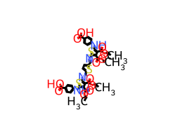 CCOC(=O)c1c(/N=C/c2ccc(/C=N/c3sc(Nc4ccc(C(=O)O)cc4)c(C(=O)OCC)c3C(=O)OCC)s2)sc(Nc2ccc(C(=O)O)cc2)c1C(=O)OCC